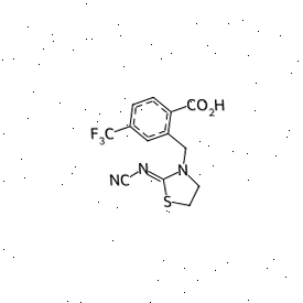 N#CN=C1SCCN1Cc1cc(C(F)(F)F)ccc1C(=O)O